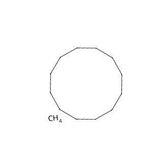 C.C1CCCCCCCCCCC1